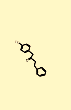 CC(C)c1ccc(CC(=O)CCc2ccccc2)cc1